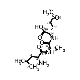 CC(C)C[C@@H](N)C(=O)N[C@@H](C)C(=O)N[C@@H](CC[S+](C)[O-])C(=O)O